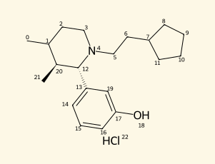 CC1CCN(CCC2CCCC2)[C@H](c2cccc(O)c2)[C@H]1C.Cl